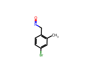 Cc1cc(Br)ccc1CN=O